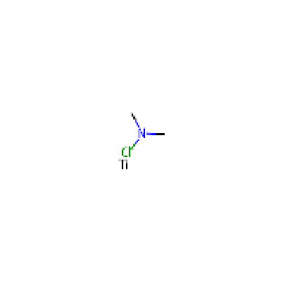 CN(C)Cl.[Ti]